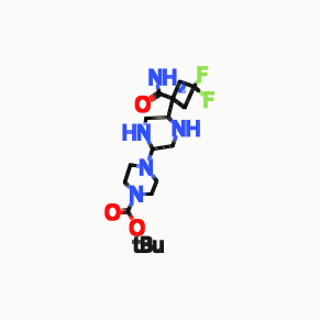 CC(C)(C)OC(=O)N1CCN(C2CNC(C3(C(N)=O)CC(F)(F)C3)CN2)CC1